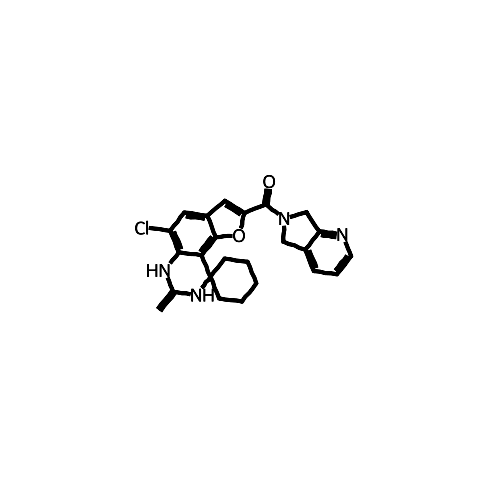 C=C1Nc2c(Cl)cc3cc(C(=O)N4Cc5cccnc5C4)oc3c2C2(CCCCC2)N1